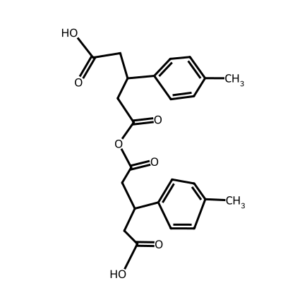 Cc1ccc(C(CC(=O)O)CC(=O)OC(=O)CC(CC(=O)O)c2ccc(C)cc2)cc1